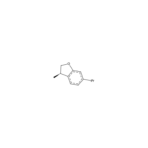 CC(C)c1ccc2c(c1)OC[C@@H]2C